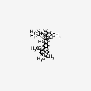 CCN(CC)c1ncc(CC(C)C)c(N[C@@H](Cc2ccc(-c3c(OC)ccn(C(C)C)c3=O)cc2)C(=O)O)n1